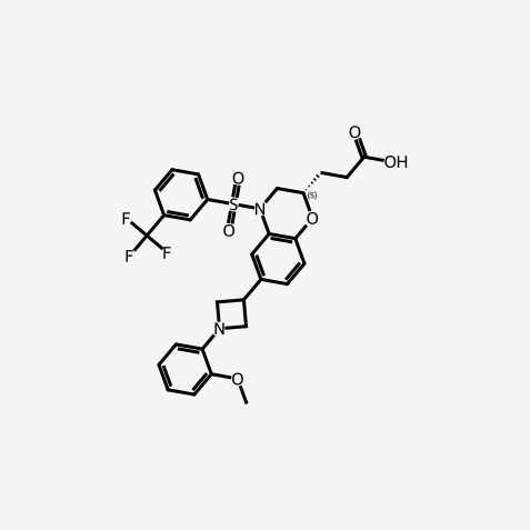 COc1ccccc1N1CC(c2ccc3c(c2)N(S(=O)(=O)c2cccc(C(F)(F)F)c2)C[C@H](CCC(=O)O)O3)C1